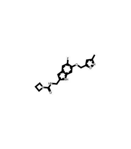 Cc1cc(COc2cc3[nH]c(CNC(=O)N4CCC4)cc3cc2F)on1